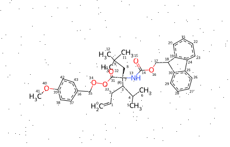 C=CCC(C(C)C)[C@@](CC(C)(C)C)(NC(=O)OCC1c2ccccc2-c2ccccc21)C(=O)OOCc1ccc(OC)cc1